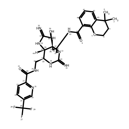 CC1(C)CCOc2c(C(=O)NC3CN4C(=N)N[C@@H](CNC(=O)c5ccc(C(F)(F)F)cn5)[C@@H]5NC(=N)N[C@@]54[C@@H]3O)cccc21